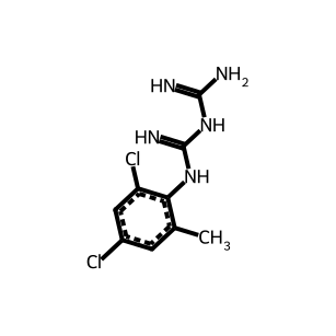 Cc1cc(Cl)cc(Cl)c1NC(=N)NC(=N)N